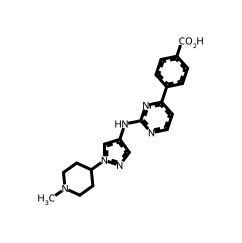 CN1CCC(n2cc(Nc3nccc(-c4ccc(C(=O)O)cc4)n3)cn2)CC1